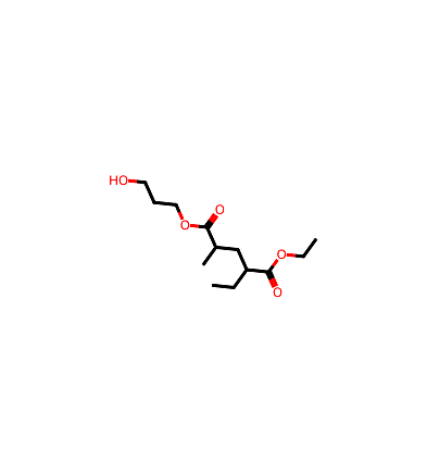 CCOC(=O)C(CC)CC(C)C(=O)OCCCO